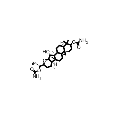 CC(C)[C@@H](OC(N)=O)C1C[C@@H](C)[C@H]2C(O1)[C@H](O)[C@@]1(C)C3CC[C@H]4C(C)(C)C(OC(N)=O)CC[C@@]45C[C@@]35CC[C@]21C